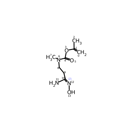 C=C(C)OC(=O)N(C)CC/C(N)=N/O